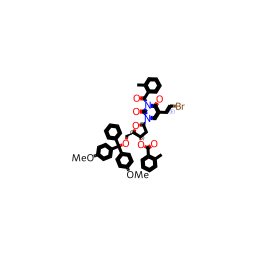 COc1ccc(C(OC[C@H]2O[C@@H](n3cc(/C=C/Br)c(=O)n(C(=O)c4ccccc4C)c3=O)C[C@@H]2OC(=O)c2ccccc2C)(c2ccccc2)c2ccc(OC)cc2)cc1